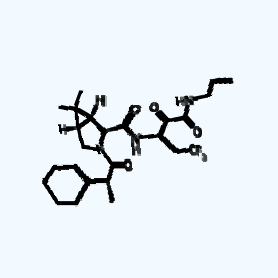 C=CCNC(=O)C(=O)C(CC(F)(F)F)NC(=O)[C@@H]1[C@@H]2[C@H](CN1C(=O)[C@@H](C)C1CCCCC1)C2(C)C